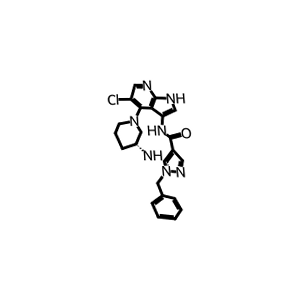 N[C@@H]1CCCN(c2c(Cl)cnc3[nH]cc(NC(=O)c4cnn(Cc5ccccc5)c4)c23)C1